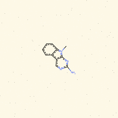 Cn1c2ccccc2c2cnc(N)nc21